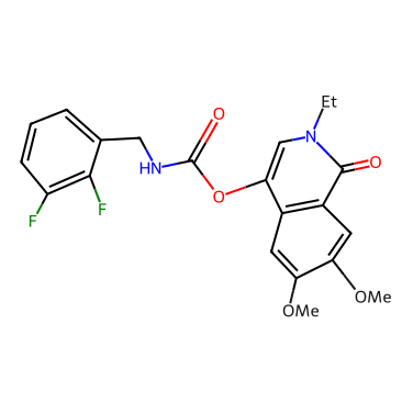 CCn1cc(OC(=O)NCc2cccc(F)c2F)c2cc(OC)c(OC)cc2c1=O